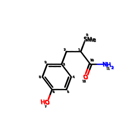 CSC(Cc1ccc(O)cc1)C(N)=O